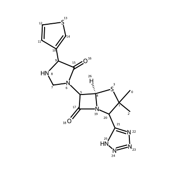 CC1(C)S[C@@H]2C(N3CNC(c4ccsc4)C3=O)C(=O)N2C1c1nnn[nH]1